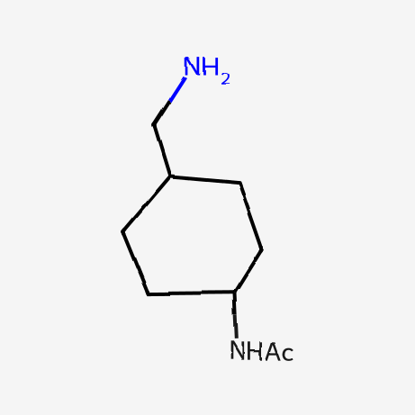 CC(=O)NC1CCC(CN)CC1